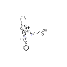 CCCCB1O[C@H]2C[C@@H](O1)[C@H](/C=C/C(F)(F)COc1ccccc1)[C@H]2C/C=C\CCCC(=O)O